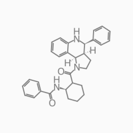 O=C(N[C@@H]1CCCCC1C(=O)N1CC[C@@H]2[C@H](c3ccccc3)Nc3ccccc3[C@@H]21)c1ccccc1